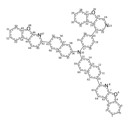 c1ccc2c(c1)oc1nc(-c3ccc4cc(N(c5ccc(-c6cncc7oc8ccccc8c67)cc5)c5ccc6cc(-c7ccc8c(n7)oc7ccccc78)ccc6c5)ccc4c3)ccc12